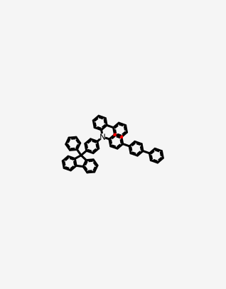 c1ccc(-c2ccc(-c3ccc(N(c4ccc(C5(c6ccccc6)c6ccccc6-c6ccccc65)cc4)c4ccccc4-c4ccccc4)cc3)cc2)cc1